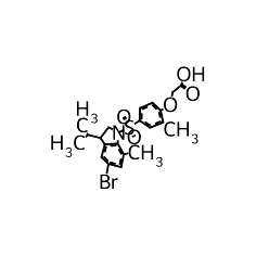 Cc1cc(S(=O)(=O)N2CC(C(C)C)c3cc(Br)cc(C)c32)ccc1OCC(=O)O